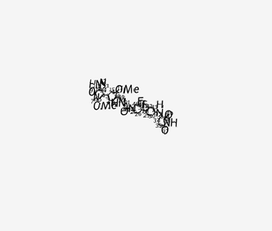 COc1cc(-c2cn(C)c(=O)c3[nH]ncc23)cc(OC)c1CNCC(=O)N1CCC(c2ccc(NC3CCC(=O)NC3=O)cc2)C(F)(F)C1